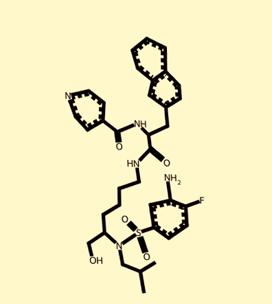 CC(C)CN(C(CO)CCCCNC(=O)C(Cc1ccc2ccccc2c1)NC(=O)c1ccncc1)S(=O)(=O)c1ccc(F)c(N)c1